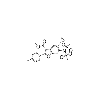 COC(=O)c1c(-c2ccc(C)cc2)oc2cc(N(S(C)(=O)=O)S(C)(=O)=O)c(C3CC3)cc12